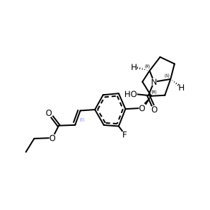 CCOC(=O)/C=C/c1ccc(O[C@H]2C[C@H]3CC[C@@H](C2)N3C(=O)O)c(F)c1